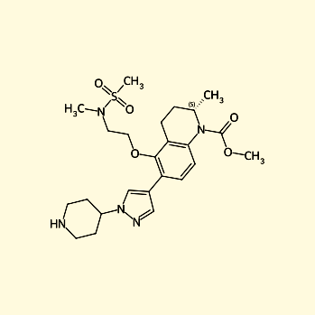 COC(=O)N1c2ccc(-c3cnn(C4CCNCC4)c3)c(OCCN(C)S(C)(=O)=O)c2CC[C@@H]1C